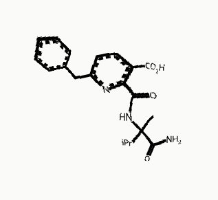 CC(C)C(C)(NC(=O)c1nc(Cc2ccccc2)ccc1C(=O)O)C(N)=O